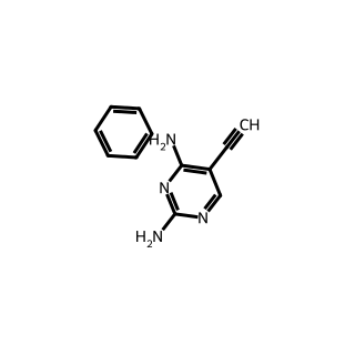 C#Cc1cnc(N)nc1N.c1ccccc1